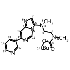 CN(CCN(C)c1cnc2cc(-c3cccnc3)ncn12)C(=O)OC(C)(C)C